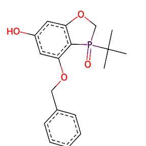 CC(C)(C)P1(=O)COc2cc(O)cc(OCc3ccccc3)c21